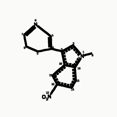 Cn1cc(C2=CN=CCC2)c2cc([N+](=O)[O-])ccc21